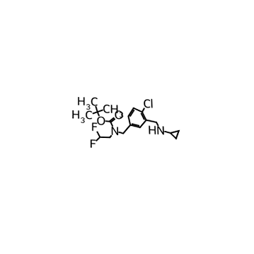 CC(C)(C)OC(=O)N(Cc1ccc(Cl)c(CNC2CC2)c1)CC(F)F